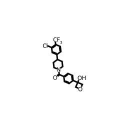 O=C(c1ccc(C2(O)COC2)cc1)N1CCC(c2ccc(C(F)(F)F)c(Cl)c2)CC1